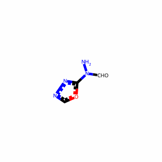 NN(C=O)c1nnco1